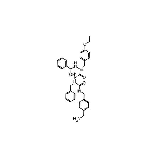 CCOc1ccc(C[C@@H](NC(O)c2ccccc2)C(=O)N[C@@H](Cc2ccccc2)C(=O)NCc2ccc(CN)cc2)cc1